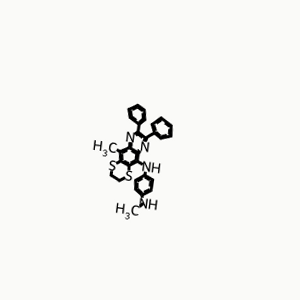 CNc1ccc(Nc2c3c(c(C)c4nc(-c5ccccc5)c(-c5ccccc5)nc24)SCCS3)cc1